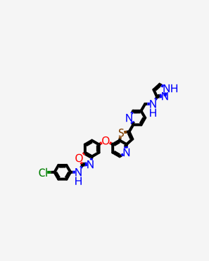 Clc1ccc(Nc2nc3cc(Oc4ccnc5cc(-c6ccc(CNc7cc[nH]n7)cn6)sc45)ccc3o2)cc1